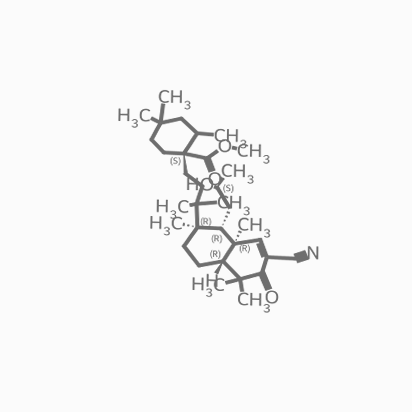 COC(=O)[C@]1(CCC(C)(C)[C@]2(C)CC[C@H]3C(C)(C)C(=O)C(C#N)=C[C@]3(C)[C@H]2C[C@H](C)O)CCC(C)(C)CC1C